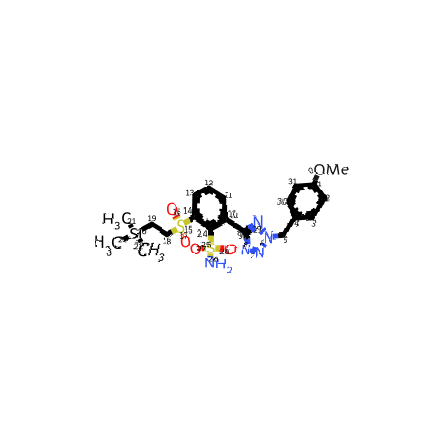 COc1ccc(Cn2nnc(-c3cccc(S(=O)(=O)CC[Si](C)(C)C)c3S(N)(=O)=O)n2)cc1